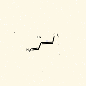 C=C/C=C/C.[Co]